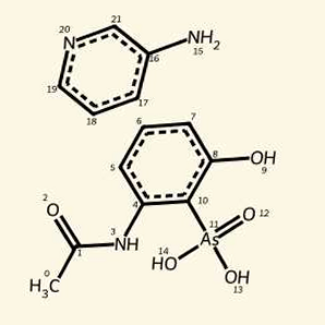 CC(=O)Nc1cccc(O)c1[As](=O)(O)O.Nc1cccnc1